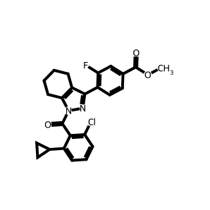 COC(=O)c1ccc(-c2nn(C(=O)c3c(Cl)cccc3C3CC3)c3c2CCCC3)c(F)c1